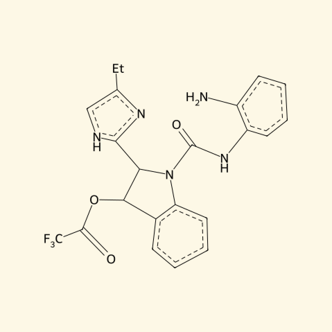 CCc1c[nH]c(C2C(OC(=O)C(F)(F)F)c3ccccc3N2C(=O)Nc2ccccc2N)n1